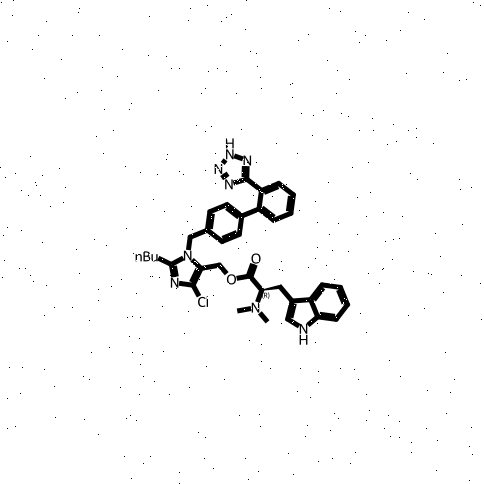 CCCCc1nc(Cl)c(COC(=O)[C@@H](Cc2c[nH]c3ccccc23)N(C)C)n1Cc1ccc(-c2ccccc2-c2nn[nH]n2)cc1